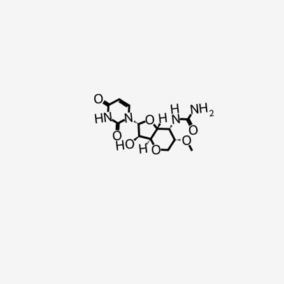 CO[C@@H]1CO[C@H]2[C@@H](O)[C@H](n3ccc(=O)[nH]c3=O)O[C@@H]2[C@@H]1NC(N)=O